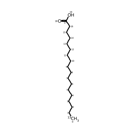 [13CH3]CCCCCCCCCCCCCCCCC(=O)O